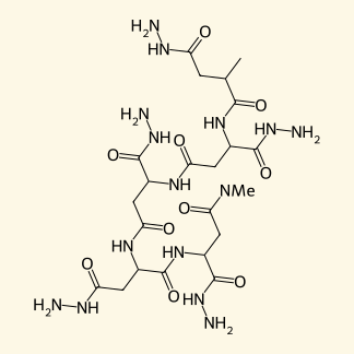 CNC(=O)CC(NC(=O)C(CC(=O)NN)NC(=O)CC(NC(=O)CC(NC(=O)C(C)CC(=O)NN)C(=O)NN)C(=O)NN)C(=O)NN